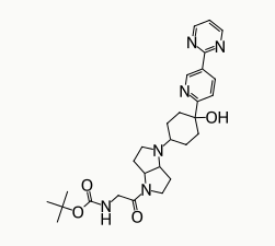 CC(C)(C)OC(=O)NCC(=O)N1CCC2C1CCN2C1CCC(O)(c2ccc(-c3ncccn3)cn2)CC1